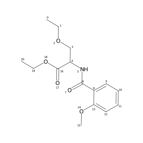 CCOCC(NC(=O)c1ccccc1OC)C(=O)OCC